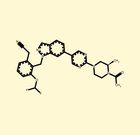 CC(=O)N1CCN(c2ncc(-c3ccc4cnn(Cc5c(CC#N)cccc5OC(F)F)c4c3)cn2)C[C@H]1C